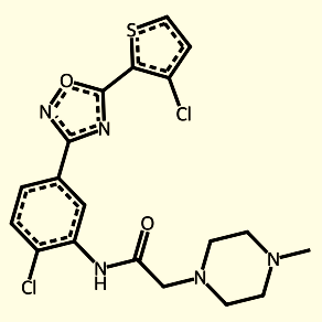 CN1CCN(CC(=O)Nc2cc(-c3noc(-c4sccc4Cl)n3)ccc2Cl)CC1